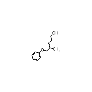 CC(COc1ccccc1)SCCO